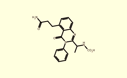 CC(NC(=O)O)c1nc2cccc(CCC(N)=O)c2c(=O)n1-c1ccccc1